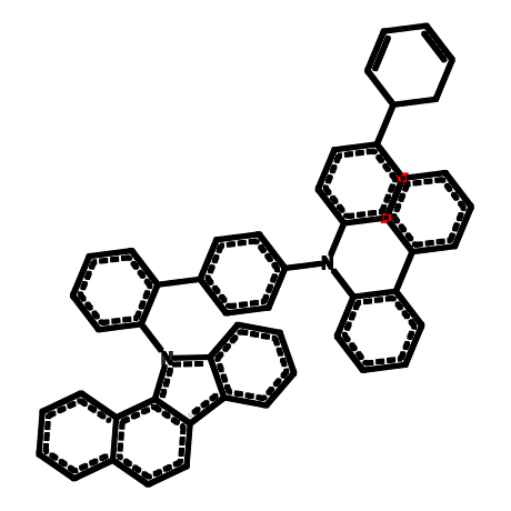 C1=CCC(c2ccc(N(c3ccc(-c4ccccc4-n4c5ccccc5c5ccc6ccccc6c54)cc3)c3ccccc3-c3ccccc3)cc2)C=C1